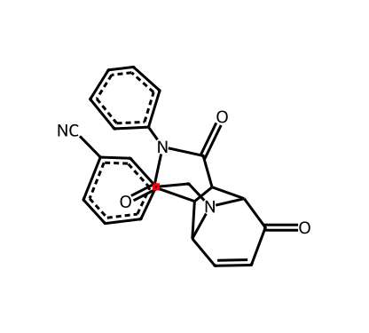 N#Cc1cccc(CN2C3C=CC(=O)C2C2C(=O)N(c4ccccc4)C(=O)C23)c1